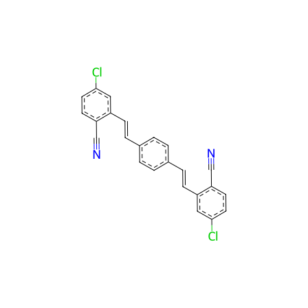 N#Cc1ccc(Cl)cc1C=Cc1ccc(C=Cc2cc(Cl)ccc2C#N)cc1